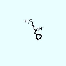 CCCCCC(Cc1ccccc1)=[N+]=[N-]